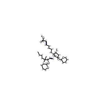 CCCCC(C)(C)[C@@H](/C=C/[C@@H]1[C@@H](CCCC/C=C/C(=O)OC)[C@H](F)C[C@H]1OC1CCCCO1)OC1CCCCO1